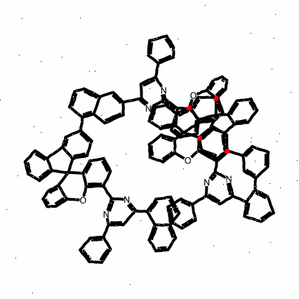 c1ccc(-c2cc(-c3ccccc3-c3cccc(-c4cccc5c4-c4ccccc4C54c5ccccc5Oc5c(-c6nc(-c7ccccc7)cc(-c7ccc8c(-c9ccc%10c(c9)-c9ccccc9C%109c%10ccccc%10Oc%10c(-c%11nc(-c%12ccccc%12)cc(-c%12cccc%13ccccc%12%13)n%11)cccc%109)cccc8c7)n6)cccc54)c3)nc(-c3cccc4c3Oc3ccccc3C43c4ccccc4-c4ccccc43)n2)cc1